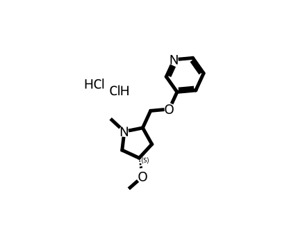 CO[C@H]1CC(COc2cccnc2)N(C)C1.Cl.Cl